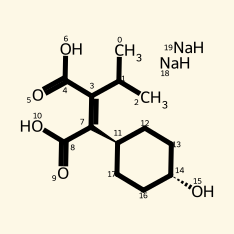 CC(C)/C(C(=O)O)=C(/C(=O)O)[C@H]1CC[C@H](O)CC1.[NaH].[NaH]